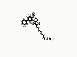 CCCCCCCCCCCCCCCCCC(=O)NC(=O)c1cc(C2CCCCC2)ccc1I=O